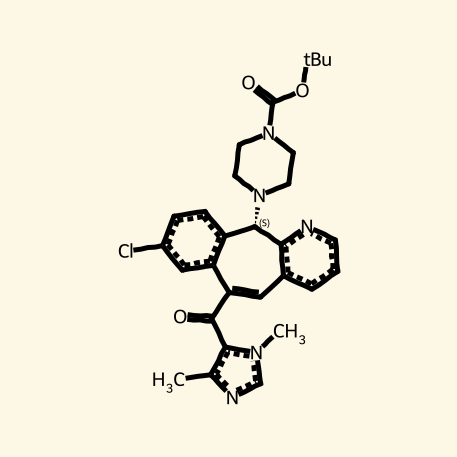 Cc1ncn(C)c1C(=O)C1=Cc2cccnc2[C@@H](N2CCN(C(=O)OC(C)(C)C)CC2)c2ccc(Cl)cc21